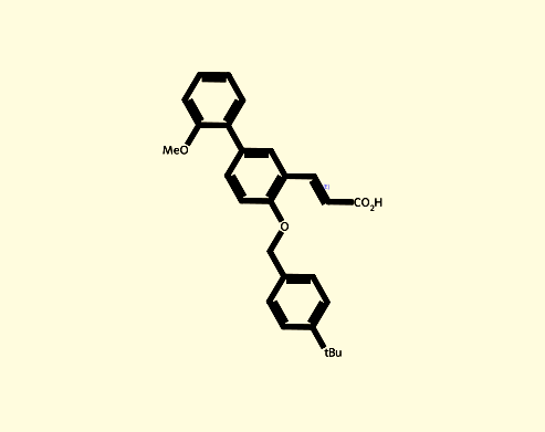 COc1ccccc1-c1ccc(OCc2ccc(C(C)(C)C)cc2)c(/C=C/C(=O)O)c1